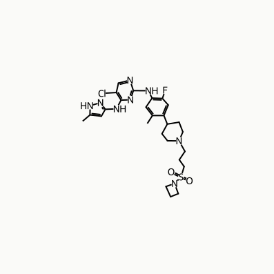 Cc1cc(Nc2nc(Nc3cc(C)c(C4CCN(CCCS(=O)(=O)N5CCC5)CC4)cc3F)ncc2Cl)n[nH]1